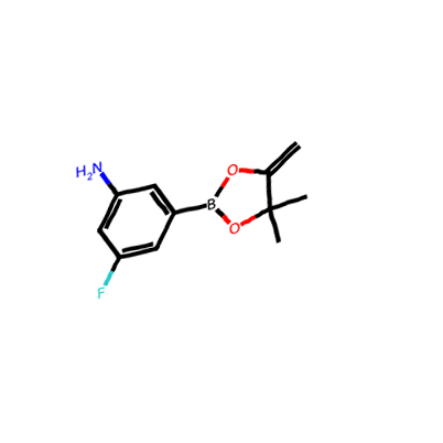 C=C1OB(c2cc(N)cc(F)c2)OC1(C)C